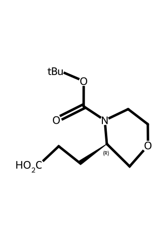 CC(C)(C)OC(=O)N1CCOC[C@H]1CCC(=O)O